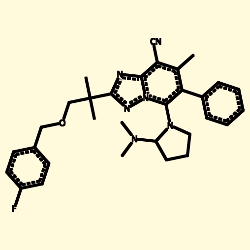 Cc1c(-c2ccccc2)c(N2CCCC2N(C)C)n2nc(C(C)(C)COCc3ccc(F)cc3)nc2c1C#N